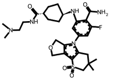 CN(C)CCNC(=O)[C@H]1CC[C@H](Nc2cc(-n3c4c(c5c3CC(C)(C)CS5(=O)=O)COC4)cc(F)c2C(N)=O)CC1